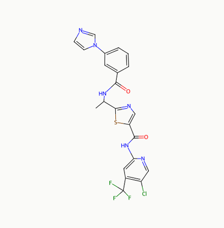 CC(NC(=O)c1cccc(-n2ccnc2)c1)c1ncc(C(=O)Nc2cc(C(F)(F)F)c(Cl)cn2)s1